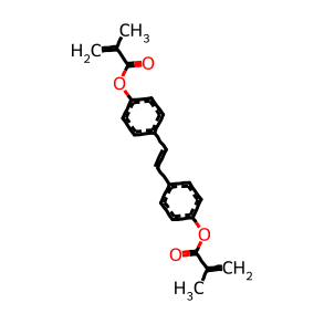 C=C(C)C(=O)Oc1ccc(/C=C/c2ccc(OC(=O)C(=C)C)cc2)cc1